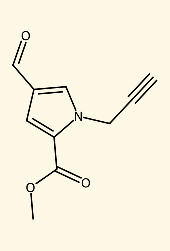 C#CCn1cc(C=O)cc1C(=O)OC